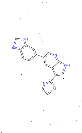 c1csc(-c2c[nH]c3ncc(-c4ccc5nc[nH]c5c4)cc23)n1